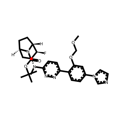 COCOc1cc(-n2ccnc2)ccc1-c1ccc(N(C)[C@@H]2C[C@H]3CC[C@H]([C@H]2F)N3C(=O)OC(C)(C)C)nn1